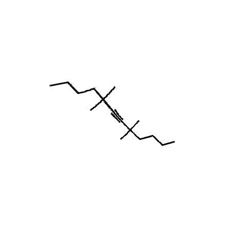 CCCCC(C)(C)C#CC(C)(C)CCCC